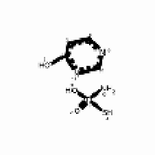 NP(=O)(O)S.Oc1ccncn1